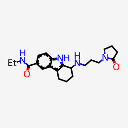 CCNC(=O)c1ccc2[nH]c3c(c2c1)CCCC3NCCCN1CCCC1=O